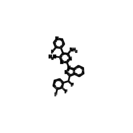 Nc1nc(-n2nc(C(F)c3cccc(F)c3F)c3ccccc32)nc(N)c1-c1ccncc1F